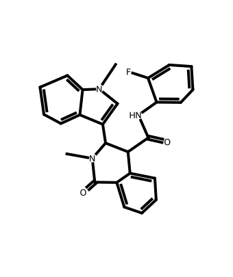 CN1C(=O)c2ccccc2C(C(=O)Nc2ccccc2F)C1c1cn(C)c2ccccc12